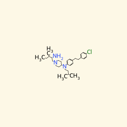 CCC(C)[C@H](N)CN1CCC(N(CCC(C)C)c2ccc(CCc3ccc(Cl)cc3)cc2)CC1